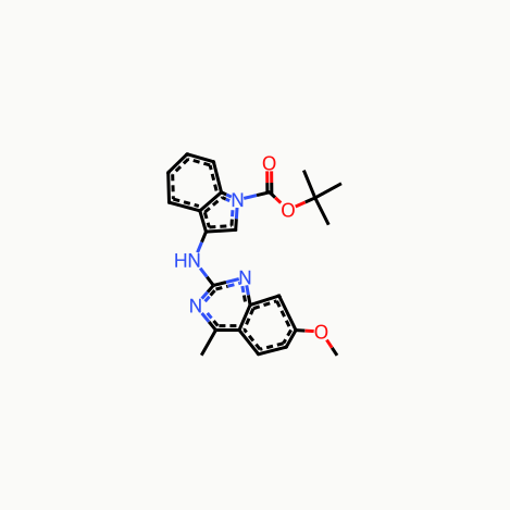 COc1ccc2c(C)nc(Nc3cn(C(=O)OC(C)(C)C)c4ccccc34)nc2c1